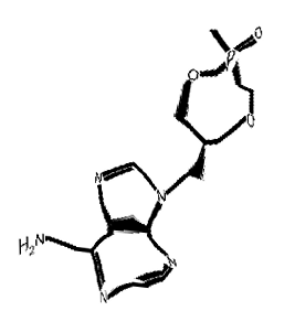 CP1(=O)CO[C@@H](CN2C=NC3C(N)=NC=NC32)CO1